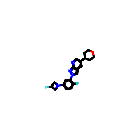 Fc1ccc(N2CC(F)C2)cc1-n1cc2cc(C3CCOCC3)cnc2n1